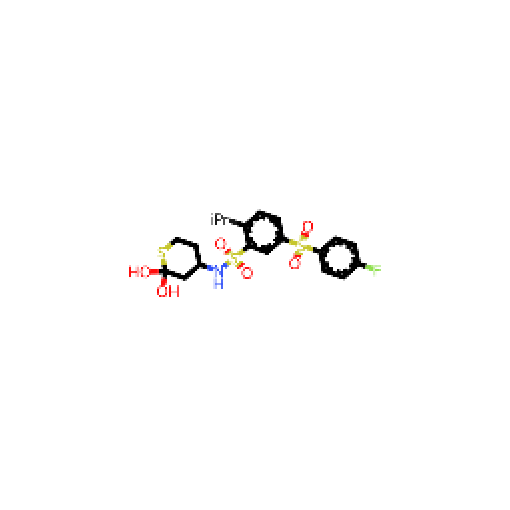 CC(C)c1ccc(S(=O)(=O)c2ccc(F)cc2)cc1S(=O)(=O)NC1CCSC(O)(O)C1